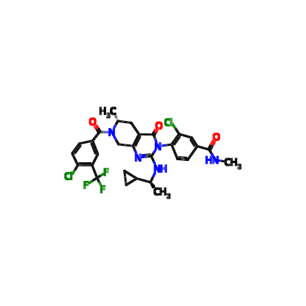 CNC(=O)c1ccc(-n2c(N[C@@H](C)C3CC3)nc3c(c2=O)C[C@@H](C)N(C(=O)c2ccc(Cl)c(C(F)(F)F)c2)C3)c(Cl)c1